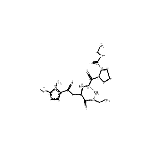 CCOC(=O)C(CC(=O)c1ccc(C)n1C)N[C@@H](C)C(=O)N1CCC[C@H]1C(=O)OCC